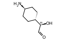 N[C@H]1CC[C@H]([C@@H](O)C=O)CC1